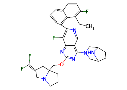 CCc1c(F)ccc2cccc(-c3ncc4c(N5CC6CCC(C5)N6)nc(OCC56CCCN5CC(=C(F)F)C6)nc4c3F)c12